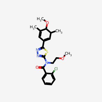 COCCN(C(=O)c1ccccc1Cl)c1nnc(C2=CC(C)C(OC)C(C)=C2)s1